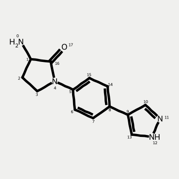 NC1CCN(c2ccc(-c3cn[nH]c3)cc2)C1=O